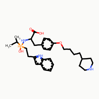 CC(C)[PH](O)(CCc1cc2ccccc2[nH]1)NC(Cc1ccc(OCCCCC2CCNCC2)cc1)C(=O)O